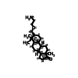 CC1(C)C(=NOCCN)CC[C@@]2(C)C1CC[C@@H]1[C@@H]2CC[C@]2(C)C(=O)CC[C@@H]12